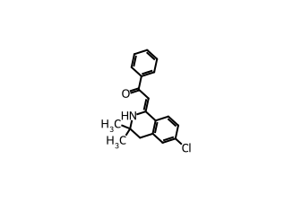 CC1(C)Cc2cc(Cl)ccc2/C(=C/C(=O)c2ccccc2)N1